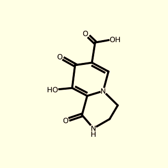 O=C(O)c1cn2c(c(O)c1=O)C(=O)NCC2